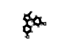 Cc1ccc(-c2ccc(Cl)cc2)n1-c1ccc(Cl)cc1